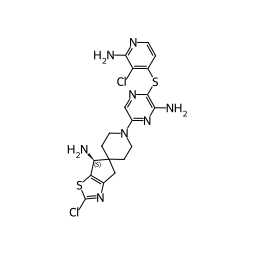 Nc1nc(N2CCC3(CC2)Cc2nc(Cl)sc2[C@H]3N)cnc1Sc1ccnc(N)c1Cl